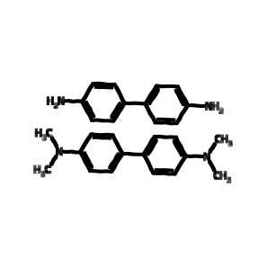 CN(C)c1ccc(-c2ccc(N(C)C)cc2)cc1.Nc1ccc(-c2ccc(N)cc2)cc1